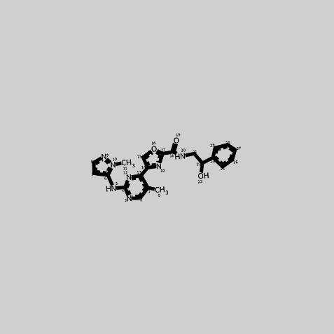 Cc1cnc(Nc2ccnn2C)nc1-c1coc(C(=O)NCC(O)c2ccccc2)n1